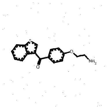 NCCOc1ccc(C(=O)c2csc3ccccc23)cc1